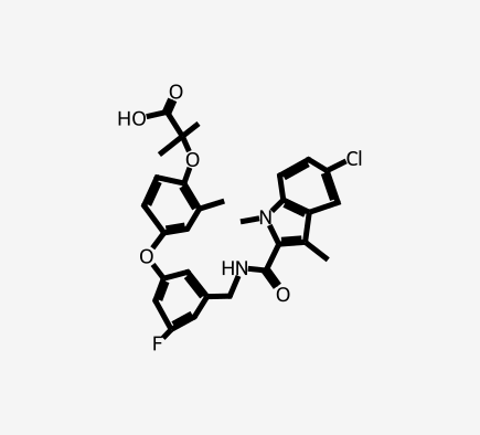 Cc1cc(Oc2cc(F)cc(CNC(=O)c3c(C)c4cc(Cl)ccc4n3C)c2)ccc1OC(C)(C)C(=O)O